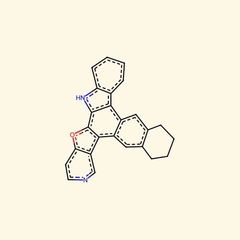 c1ccc2c(c1)[nH]c1c3oc4ccncc4c3c3cc4c(cc3c21)CCCC4